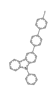 Ic1ccc(-c2ccc(-c3ccc4c(c3)c3ccccc3n4-c3ccccc3)cc2)cc1